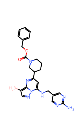 Bc1cnn2c(NCc3cnc(N)nc3)cc(C3CCCN(C(=O)OCc4ccccc4)C3)nc12